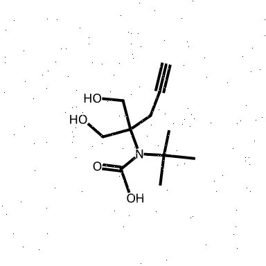 C#CCC(CO)(CO)N(C(=O)O)C(C)(C)C